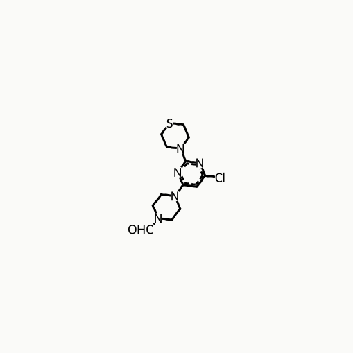 O=CN1CCN(c2cc(Cl)nc(N3CCSCC3)n2)CC1